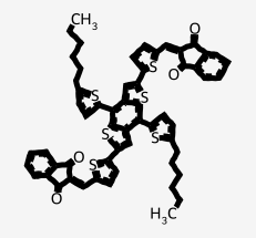 CCCCCCc1ccc(-c2c3cc(-c4ccc(C=C5C(=O)c6ccccc6C5=O)s4)sc3c(-c3ccc(CCCCCC)s3)c3cc(-c4ccc(C=C5C(=O)c6ccccc6C5=O)s4)sc23)s1